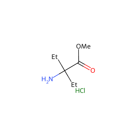 CCC(N)(CC)C(=O)OC.Cl